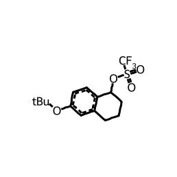 CC(C)(C)Oc1ccc2c(c1)CCCC2OS(=O)(=O)C(F)(F)F